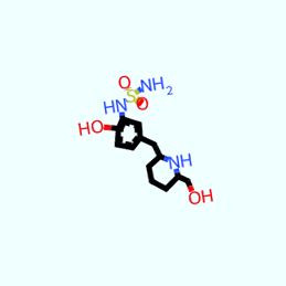 NS(=O)(=O)Nc1cc(CC2CCCC(CO)N2)ccc1O